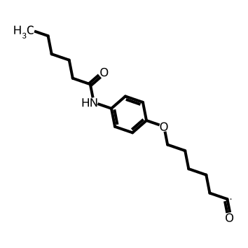 CCCCCC(=O)Nc1ccc(OCCCCC[C]=O)cc1